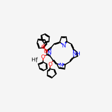 C1=Cc2cc3c(Oc4ccccc4)c(Oc4ccccc4)c(c(Oc4ccccc4)c4nc(cc5ccc(cc1n2)[nH]5)C=C4)n3Oc1ccccc1.[Hf]